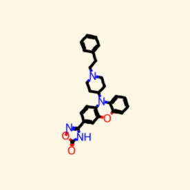 O=c1[nH]c(-c2ccc3c(c2)Oc2ccccc2N3C2CCN(CCc3ccccc3)CC2)no1